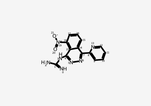 N=C(N)Nc1nnc(-c2ccccn2)c2cccc([N+](=O)[O-])c12